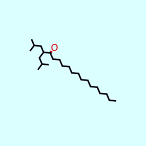 CCCCCCCCCCCCCCC(=O)C(CC(C)C)CC(C)C